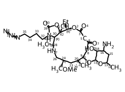 CC[C@H]1OC(=O)CC(=O)C[C@@H](OC2OC(C)CC(N)C2O)[C@](C)(OC)C[C@@H](C)CN[C@H](C)[C@H]2N(CCCCN=[N+]=[N-])C(=O)O[C@]12C